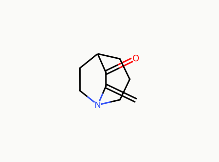 C=C1C(=O)C2CCCN1CC2